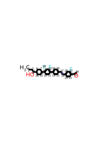 CCCC(O)C1CCC(c2ccc(-c3ccc(/C=C/c4ccc(C5CO5)c(F)c4)cc3)c(F)c2F)CC1